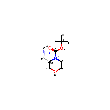 CC(C)(C)OC(=O)N1CCOC[C@@H]1CN